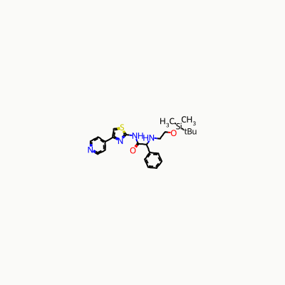 CC(C)(C)[Si](C)(C)OCCNC(C(=O)Nc1nc(-c2ccncc2)cs1)c1ccccc1